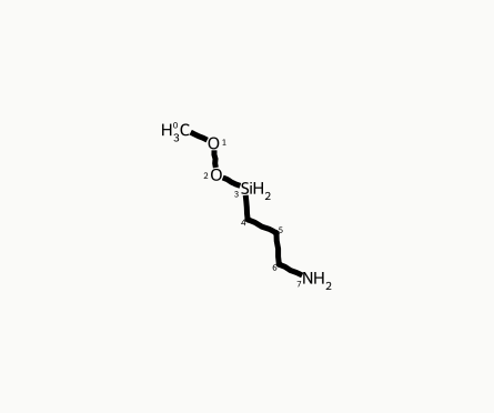 COO[SiH2]CCCN